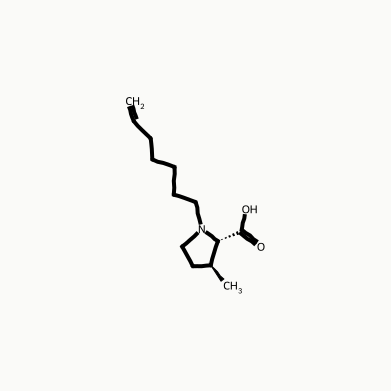 C=CCCCCCN1CC[C@H](C)[C@H]1C(=O)O